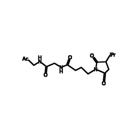 CC(=O)CNC(=O)CNC(=O)CCCN1C(=O)CC(C(C)C)C1=O